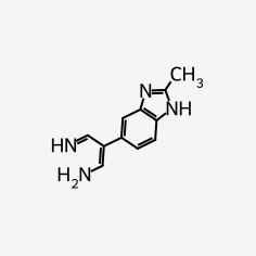 Cc1nc2cc(/C(C=N)=C/N)ccc2[nH]1